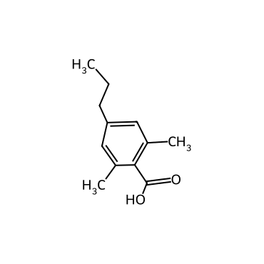 CCCc1cc(C)c(C(=O)O)c(C)c1